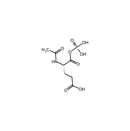 CC(=O)N[C@@H](CCC(=O)O)C(=O)OP(=O)(O)O